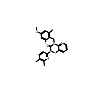 COc1cc(F)c(CN2C(=O)N(c3ccc(C)c(C)n3)Sc3cccnc32)c(F)c1